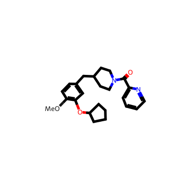 COc1ccc(CC2CCN(C(=O)c3ccccn3)CC2)cc1OC1CCCC1